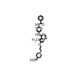 Cc1c(OCCCN2CCC(CO)CC2)cn2ncnc(Nc3cnc(NC(=O)c4ccccc4)nc3)c12